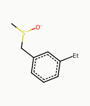 CCc1cccc(C[S+](C)[O-])c1